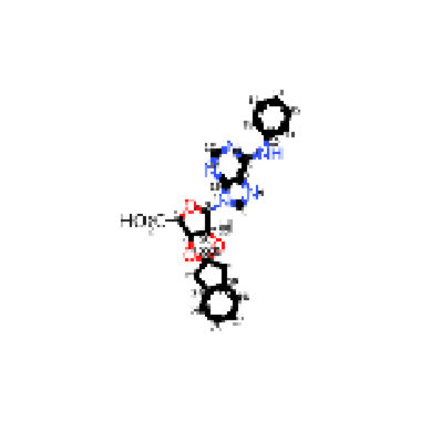 O=C(O)[C@H]1O[C@@H](n2cnc3c(Nc4ccccc4)ncnc32)[C@H]2OC3(Cc4ccccc4C3)OC12